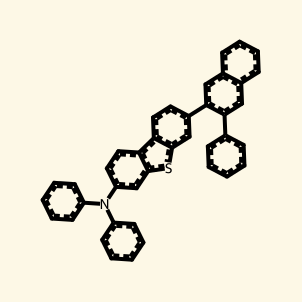 c1ccc(-c2cc3ccccc3cc2-c2ccc3c(c2)sc2cc(N(c4ccccc4)c4ccccc4)ccc23)cc1